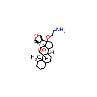 C[C@]12CCCCC1CC[C@@H]1[C@H]2CC[C@]2(C)C(OCCN)(c3ccoc3)CC[C@@]12O